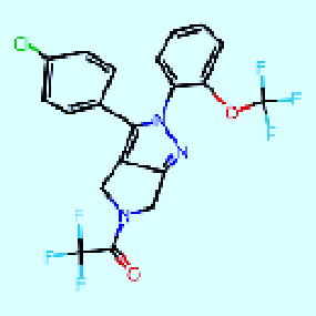 O=C(N1Cc2nn(-c3ccccc3OC(F)(F)F)c(-c3ccc(Cl)cc3)c2C1)C(F)(F)F